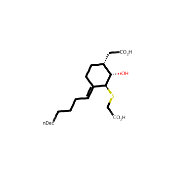 CCCCCCCCCCCCC/C=C1\CC[C@H](CC(=O)O)[C@H](O)[C@H]1SCC(=O)O